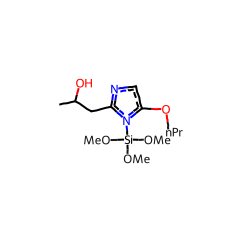 CCCOc1cnc(CC(C)O)n1[Si](OC)(OC)OC